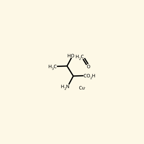 C=O.CC(O)C(N)C(=O)O.[Cu]